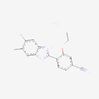 CCOc1cc(C#N)ccc1-c1nc2cc(Cl)c(Cl)cc2[nH]1.Cl